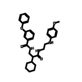 COc1ccc(NCCNC(=O)C(CNC(=O)c2cccc(Oc3ccccc3)c2)C2CCCCC2)cc1